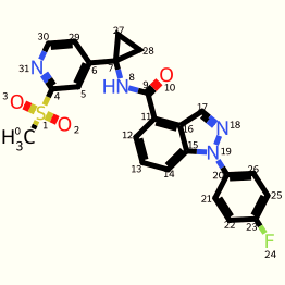 CS(=O)(=O)c1cc(C2(NC(=O)c3cccc4c3cnn4-c3ccc(F)cc3)CC2)ccn1